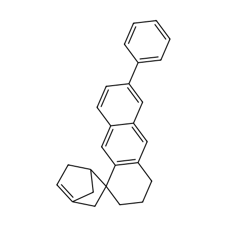 C1=C2CC(C1)C1(CCCc3cc4cc(-c5ccccc5)ccc4cc31)C2